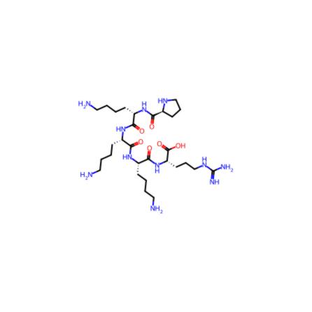 N=C(N)NCCC[C@H](NC(=O)[C@H](CCCCN)NC(=O)[C@H](CCCCN)NC(=O)[C@H](CCCCN)NC(=O)[C@@H]1CCCN1)C(=O)O